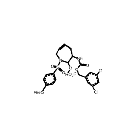 COc1ccc(S(=O)(=O)N2CC=CCC(NC(=O)OCc3cc(Cl)cc(Cl)c3)C2OC(=O)O)cc1